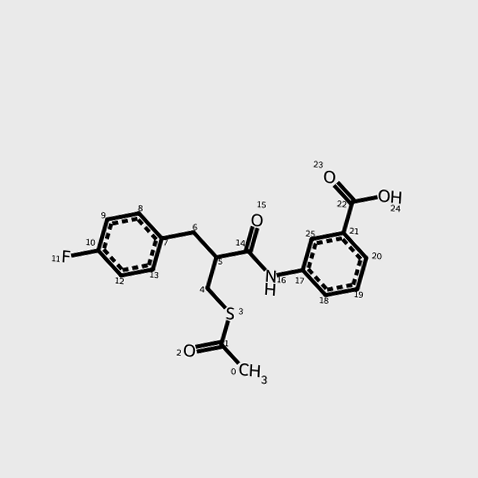 CC(=O)SCC(Cc1ccc(F)cc1)C(=O)Nc1cccc(C(=O)O)c1